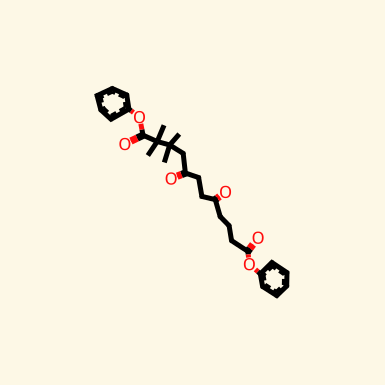 CC(C)(CC(=O)CCC(=O)CCCC(=O)Oc1ccccc1)C(C)(C)C(=O)Oc1ccccc1